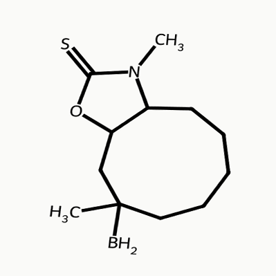 BC1(C)CCCCCC2C(C1)OC(=S)N2C